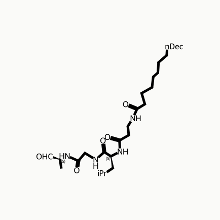 CCCCCCCCCCCCCCCCCC(=O)NCCC(=O)N[C@@H](CC(C)C)C(=O)NCC(=O)N[C@@H](C)C=O